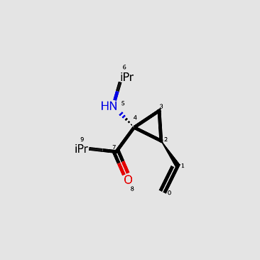 C=C[C@@H]1C[C@]1(NC(C)C)C(=O)C(C)C